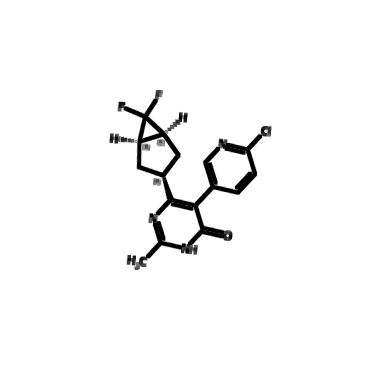 Cc1nc([C@H]2C[C@@H]3[C@H](C2)C3(F)F)c(-c2ccc(Cl)nc2)c(=O)[nH]1